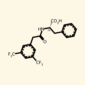 O=C(Cc1cc(C(F)(F)F)cc(C(F)(F)F)c1)N[C@@H](Cc1ccccc1)C(=O)O